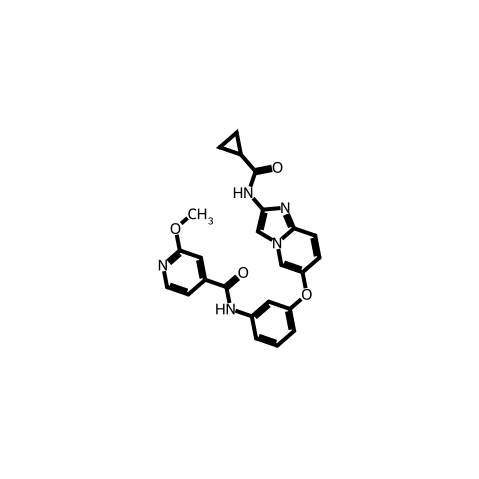 COc1cc(C(=O)Nc2cccc(Oc3ccc4nc(NC(=O)C5CC5)cn4c3)c2)ccn1